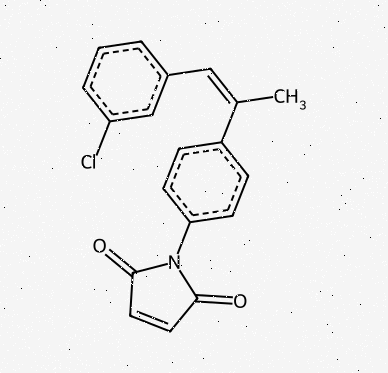 CC(=Cc1cccc(Cl)c1)c1ccc(N2C(=O)C=CC2=O)cc1